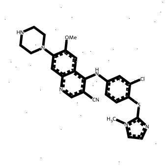 COc1cc2c(Nc3ccc(Sc4nccn4C)c(Cl)c3)c(C#N)cnc2cc1N1CCNCC1